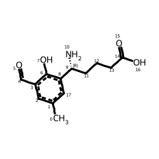 Cc1cc(C=O)c(O)c([C@H](N)CCCC(=O)O)c1